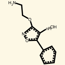 CCCc1c(OCCN)noc1-c1ccccc1.Cl